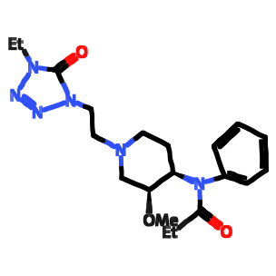 CCC(=O)N(c1ccccc1)[C@@H]1CCN(CCn2nnn(CC)c2=O)C[C@@H]1OC